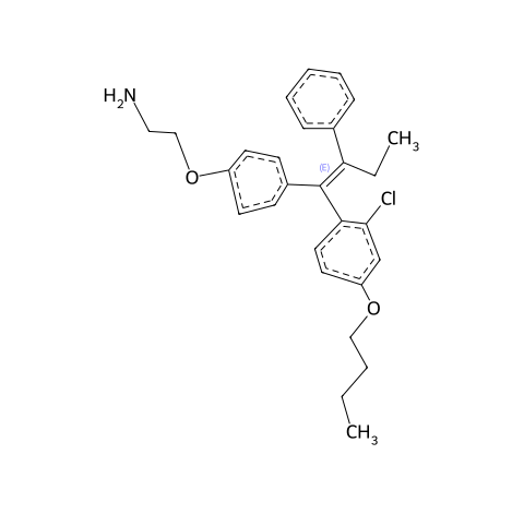 CCCCOc1ccc(/C(=C(\CC)c2ccccc2)c2ccc(OCCN)cc2)c(Cl)c1